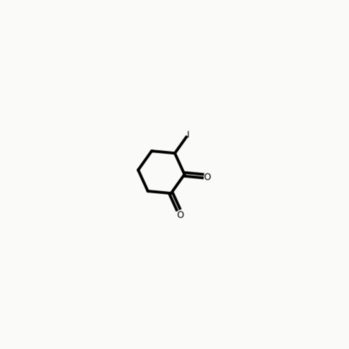 O=C1CCCC(I)C1=O